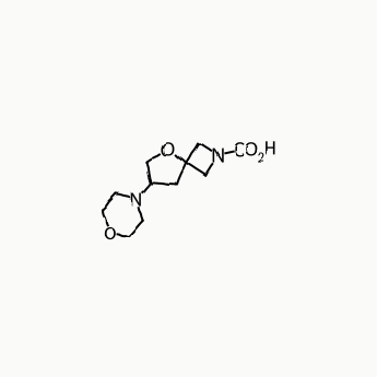 O=C(O)N1CC2(CC(N3CCOCC3)CO2)C1